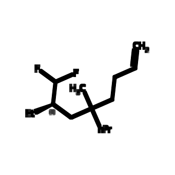 C=CCCC(C)(CCC)C[C@@H](CC)C(F)F